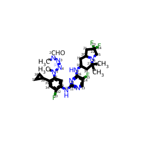 CN(C=O)/N=N\N(C)c1cc(Nc2ncc(F)c(NC3CC4CC(F)(F)CN4C(C)(C)C3)n2)c(F)cc1C1CC1